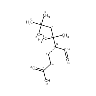 CC(C)(C)CC(C)(C)[C@@H](CCC(=O)O)P=O